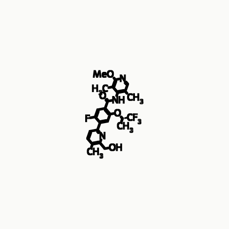 COc1ncc(C)c(NC(=O)c2cc(F)c(-c3ccc(C)c(CO)n3)cc2O[C@@H](C)C(F)(F)F)c1C